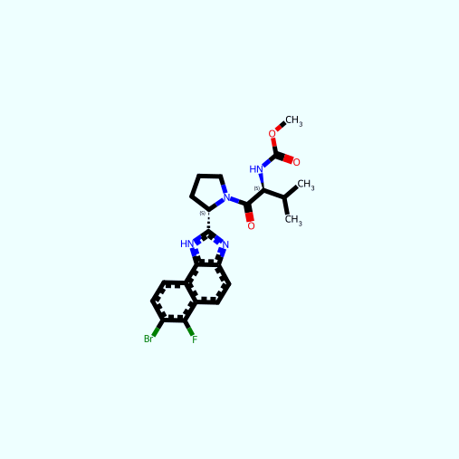 COC(=O)N[C@H](C(=O)N1CCC[C@H]1c1nc2ccc3c(F)c(Br)ccc3c2[nH]1)C(C)C